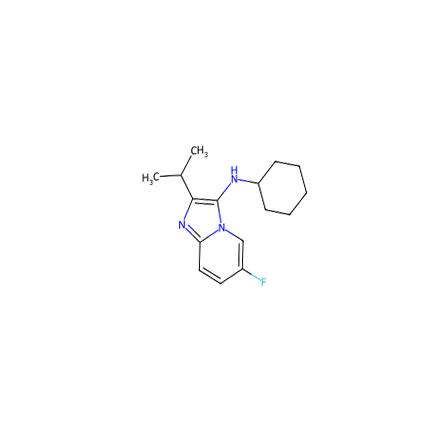 CC(C)c1nc2ccc(F)cn2c1NC1CCCCC1